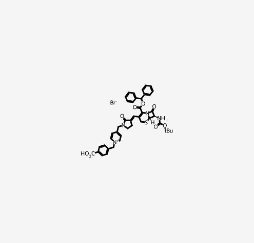 CC(C)(C)OC(=O)N[C@@H]1C(=O)N2C(C(=O)OC(c3ccccc3)c3ccccc3)=C(C=C3CCN(Cc4cc[n+](Cc5ccc(C(=O)O)cc5)cc4)C3=O)CS[C@H]12.[Br-]